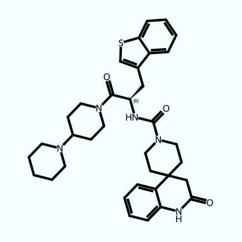 O=C1CC2(CCN(C(=O)N[C@H](Cc3csc4ccccc34)C(=O)N3CCC(N4CCCCC4)CC3)CC2)c2ccccc2N1